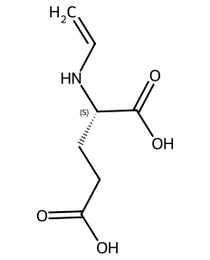 C=CN[C@@H](CCC(=O)O)C(=O)O